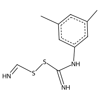 Cc1cc(C)cc(NC(=N)SSC=N)c1